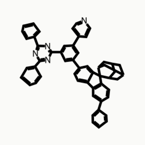 c1ccc(-c2ccc3c(c2)-c2ccc(-c4cc(-c5ccncc5)cc(-c5nc(-c6ccccc6)nc(-c6ccccc6)n5)c4)cc2C32C3CC4CC(C3)CC2C4)cc1